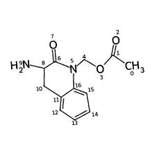 CC(=O)OCN1C(=O)C(N)Cc2ccccc21